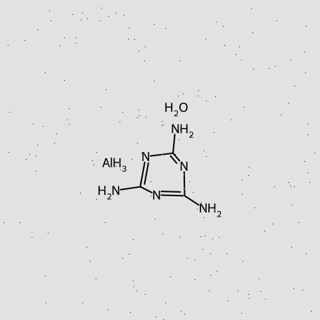 Nc1nc(N)nc(N)n1.O.[AlH3]